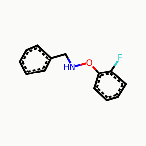 Fc1ccccc1ONCc1ccccc1